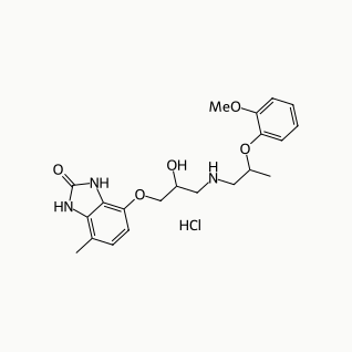 COc1ccccc1OC(C)CNCC(O)COc1ccc(C)c2[nH]c(=O)[nH]c12.Cl